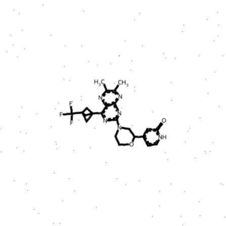 Cc1nc2nc(N3CCOC(c4cc[nH]c(=O)c4)C3)nc(C34CC(C(F)(F)F)(C3)C4)c2nc1C